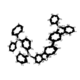 c1ccc(N(c2ccccc2)c2cccc(N(c3ccccc3)c3ccc4oc5ccc(-c6ccc7c(c6)c6ccccc6n7-c6ccccc6)cc5c4c3)c2)cc1